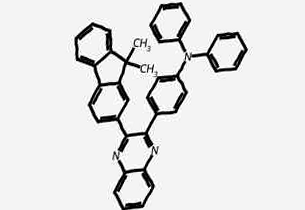 CC1(C)c2ccccc2-c2ccc(-c3nc4ccccc4nc3-c3ccc(N(c4ccccc4)c4ccccc4)cc3)cc21